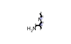 C/C=N/C=C(/C)CN